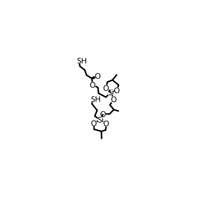 CC1CO[Si](CCCS)(OCC(C)CO[Si]2(CCCOC(=O)CCCS)OCC(C)CO2)OC1